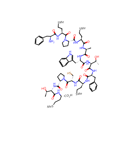 CSCC[C@H](NC(=O)[C@@H](NC(=O)[C@@H]1CCCN1C(=O)[C@H](CS)NC(=O)[C@H](CCSC)NC(=O)[C@H](Cc1ccccc1)NC(=O)[C@@H](NC(=O)[C@H](Cc1c[nH]c2ccccc12)NC(=O)[C@H](C)NC(=O)[C@H](CCSC)NC(=O)[C@@H]1CCCN1C(=O)[C@H](CCSC)NC(=O)[C@@H](N)Cc1ccccc1)[C@@H](C)O)[C@@H](C)O)C(=O)O